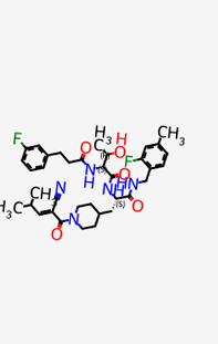 Cc1ccc(CNC(=O)[C@H](CC2CCN(C(=O)C(C#N)=CC(C)C)CC2)NC(=O)[C@@H](NC(=O)CCc2cccc(F)c2)[C@@H](C)O)c(F)c1